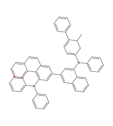 CC1CC(N(c2ccccc2)c2cc(-c3cc(N(c4ccccc4)c4ccccc4)c4c(ccc5ccccc54)c3)cc3ccccc23)=CC=C1c1ccccc1